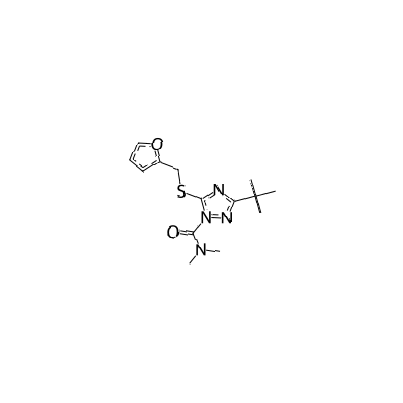 CN(C)C(=O)n1nc(C(C)(C)C)nc1SCc1ccco1